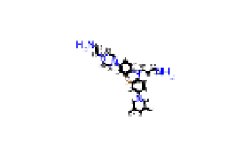 CC1CC(C)CN(c2ccc3c(c2)Sc2cc(N4CCN(CCN)CC4)ccc2N3CCCN)C1